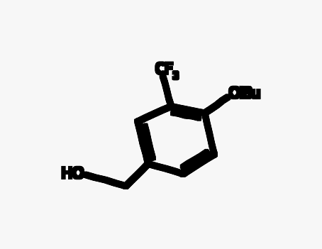 CC(C)COc1ccc(CO)cc1C(F)(F)F